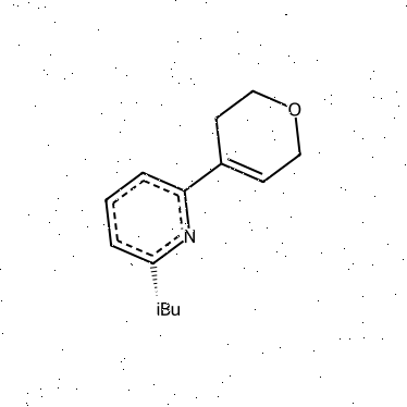 CC[C@@H](C)c1cccc(C2=CCOCC2)n1